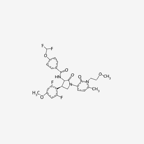 COCCn1c(C)ccc(N2C[C@@H](c3c(F)cc(OC)cc3F)C(NC(=O)c3ccc(OC(F)F)cc3)C2=O)c1=O